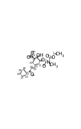 CCOC(=O)N(C)C(=O)Oc1cc(C=CC(=O)c2ccccc2)cc([N+](=O)[O-])c1O